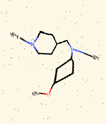 CC(C)N1CCC(CN(C(C)C)C2CC(OC(C)(C)C)C2)CC1